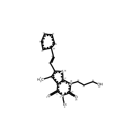 CCn1c(=O)c2c(C)c(/C=C/c3ccccc3)sc2n(CCCO)c1=O